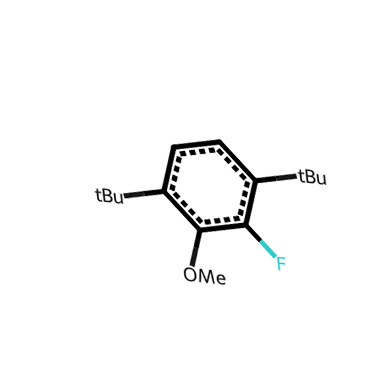 COc1c(C(C)(C)C)ccc(C(C)(C)C)c1F